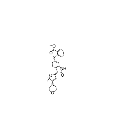 COC(=O)c1ccccc1Sc1ccc2c(c1)NC(=O)C2=C1C=C(N2CCOCC2)C(C)(C)O1